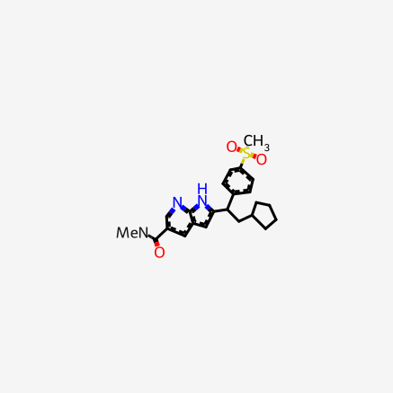 CNC(=O)c1cnc2[nH]c(C(CC3CCCC3)c3ccc(S(C)(=O)=O)cc3)cc2c1